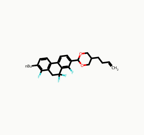 C=CCCC1COC(c2ccc3c(c2F)C(F)(F)Cc2c-3ccc(CCCC)c2F)OC1